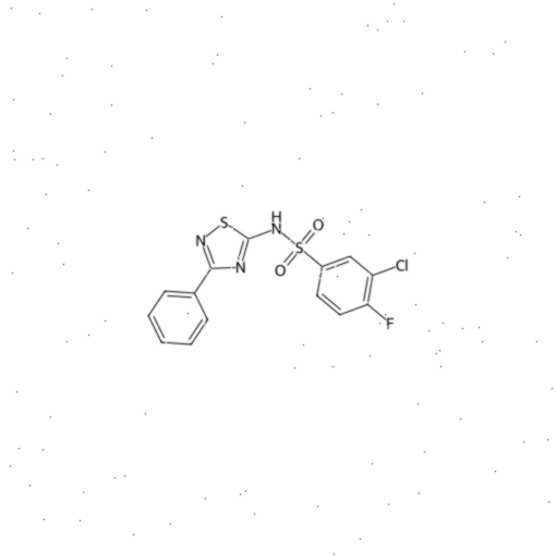 O=S(=O)(Nc1nc(-c2ccccc2)ns1)c1ccc(F)c(Cl)c1